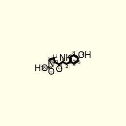 NC(Cc1ccc(O)cc1)C(=O)C1CCN1C(=O)O